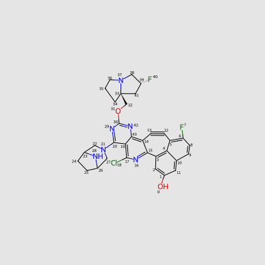 Oc1cc2c3c(c(F)ccc3c1)C#Cc1c-2nc(Cl)c2c(N3CC4CCC(C3)N4)nc(OC[C@@]34CCCN3C[C@H](F)C4)nc12